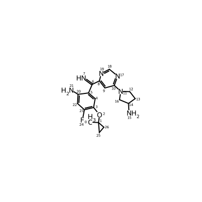 CC1(Oc2cc(C(=N)c3cc(N4CCC(N)C4)ncn3)c(N)cc2F)CC1